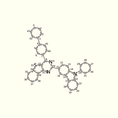 c1ccc(-c2ccc(-c3nc(-c4ccc5c(c4)c4ccccc4n5-c4ccccc4)nc4c3sc3ccccc34)cc2)cc1